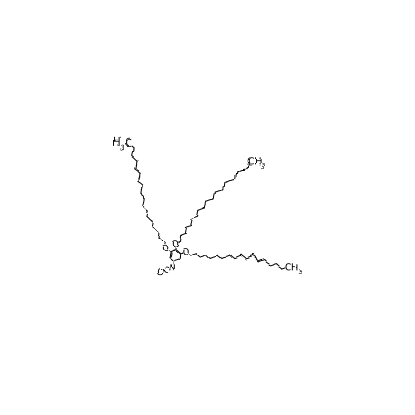 CCCCCCCCCCCCCCCCCCOc1cc(N=C=O)cc(OCCCCCCCCCCCCCCCCCC)c1OCCCCCCCCCCCCCCCCCC